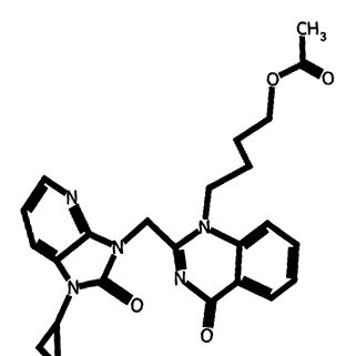 CC(=O)OCCCCn1c(Cn2c(=O)n(C3CC3)c3cccnc32)nc(=O)c2ccccc21